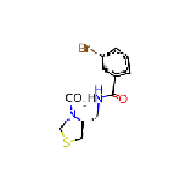 O=C(NC[C@@H]1CSCN1C(=O)O)c1cccc(Br)c1